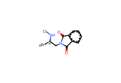 CCC[C@H](CN1C(=O)c2ccccc2C1=O)NCl